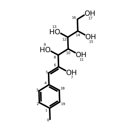 Cc1ccc(C=C(O)C(O)C(O)C(O)C(O)CO)cc1